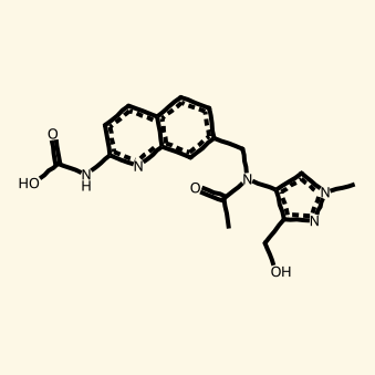 CC(=O)N(Cc1ccc2ccc(NC(=O)O)nc2c1)c1cn(C)nc1CO